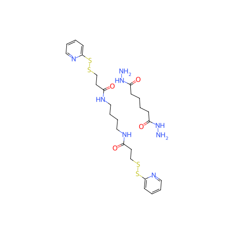 NNC(=O)CCCCC(=O)NN.O=C(CCSSc1ccccn1)NCCCCNC(=O)CCSSc1ccccn1